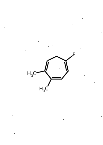 CC1=CC=C(F)CC=C1C